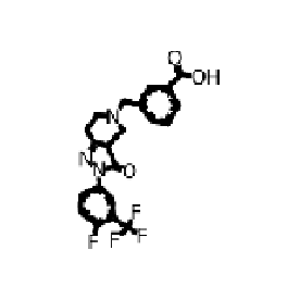 O=C(O)c1cccc(CN2CCC3=NN(c4ccc(F)c(C(F)(F)F)c4)C(=O)C3C2)c1